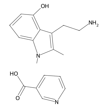 Cc1c(CCN)c2c(O)cccc2n1C.O=C(O)c1cccnc1